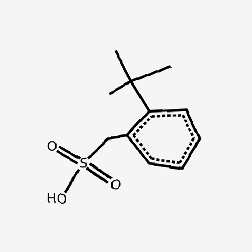 CC(C)(C)c1ccccc1CS(=O)(=O)O